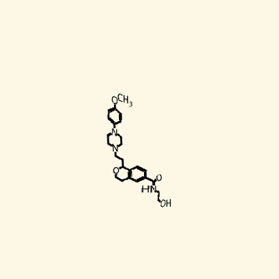 COc1ccc(N2CCN(CCC3OCCc4cc(C(=O)NCCO)ccc43)CC2)cc1